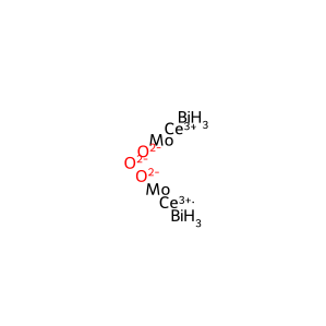 [BiH3].[BiH3].[Ce+3].[Ce+3].[Mo].[Mo].[O-2].[O-2].[O-2]